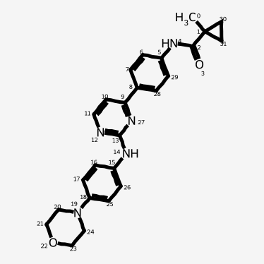 CC1(C(=O)Nc2ccc(-c3ccnc(Nc4ccc(N5CCOCC5)cc4)n3)cc2)CC1